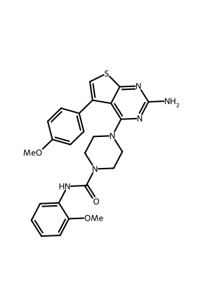 COc1ccc(-c2csc3nc(N)nc(N4CCN(C(=O)Nc5ccccc5OC)CC4)c23)cc1